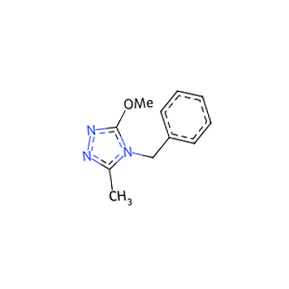 COc1nnc(C)n1Cc1ccccc1